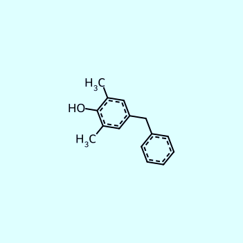 Cc1cc(Cc2ccccc2)cc(C)c1O